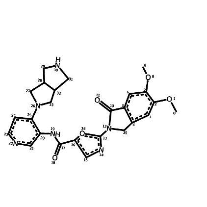 COc1cc2c(cc1OC)C(=O)N(c1ncc(C(=O)Nc3cnccc3N3CC4CNCC4C3)o1)C2